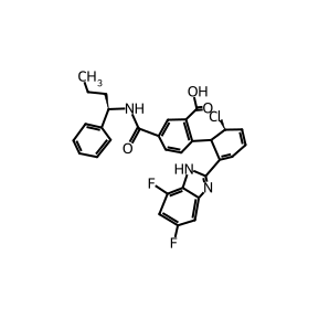 CCC[C@@H](NC(=O)c1ccc(C2C(c3nc4cc(F)cc(F)c4[nH]3)=CC=C[C@@H]2Cl)c(C(=O)O)c1)c1ccccc1